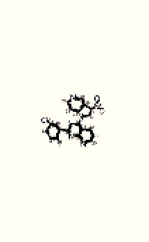 O=[N+]([O-])C1CN(c2cc(-c3cc(Cl)ccc3F)nc3ncccc23)c2ccncc21